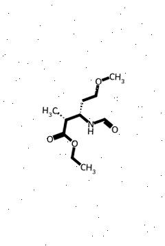 CCOC(=O)[C@H](C)[C@H](CCOC)NC=O